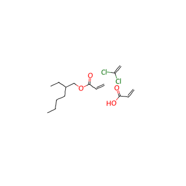 C=C(Cl)Cl.C=CC(=O)O.C=CC(=O)OCC(CC)CCCC